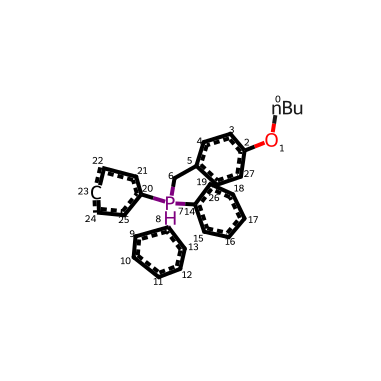 CCCCOc1ccc(C[PH](c2ccccc2)(c2ccccc2)c2ccccc2)cc1